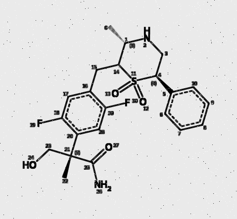 C[C@@H]1NC[C@@H](c2ccccc2)S(=O)(=O)C1Cc1cc(F)c([C@@](C)(CO)C(N)=O)cc1F